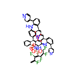 C=C(F)/C(F)=C(\C(F)=C(\F)CF)S(=O)(=O)NS(=O)(=O)c1ccccc1-c1c2cc/c(=N/c3c(-c4ccncc4)cccc3-c3ccncc3)cc-2oc2cc(Nc3c(-c4ccncc4)cccc3-c3ccncc3)ccc12